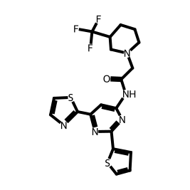 O=C(CN1CCCC(C(F)(F)F)C1)Nc1cc(-c2nccs2)nc(-c2cccs2)n1